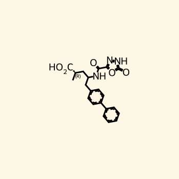 C[C@H](CC(Cc1ccc(-c2ccccc2)cc1)NC(=O)c1n[nH]c(=O)o1)C(=O)O